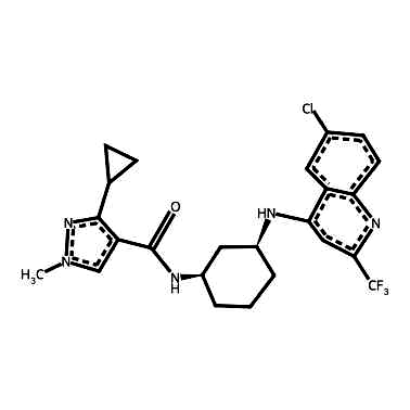 Cn1cc(C(=O)N[C@@H]2CCC[C@H](Nc3cc(C(F)(F)F)nc4ccc(Cl)cc34)C2)c(C2CC2)n1